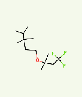 CC(C)C(C)(C)CCOC(C)(C)CC(F)(F)F